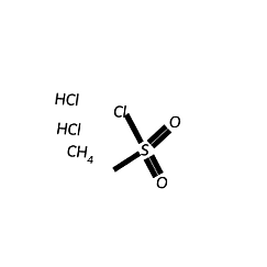 C.CS(=O)(=O)Cl.Cl.Cl